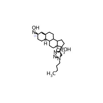 CCCCn1cc([C@]2(O)CCC3C4CCC5=C/C(=N\O)CC[C@@H]5C4CC[C@@]32C)nn1